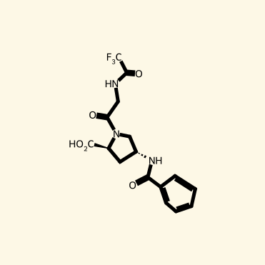 O=C(N[C@@H]1C[C@@H](C(=O)O)N(C(=O)CNC(=O)C(F)(F)F)C1)c1ccccc1